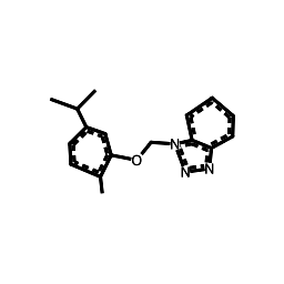 Cc1ccc(C(C)C)cc1OCn1nnc2ccccc21